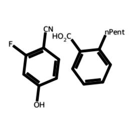 CCCCCc1ccccc1C(=O)O.N#Cc1ccc(O)cc1F